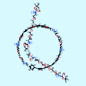 CC(C)(C)OC(=O)NCCOCCOc1cc2c(OCCOCCNC(=O)OC(C)(C)C)cc1C#Cc1ccc(cc1)CNCCOCCOCCNCc1ccc(cc1)C#Cc1cc(OCCOCCNC(=O)OC(C)(C)C)c(cc1OCCOCCNC(=O)OC(C)(C)C)C#Cc1ccc(cc1)CNCCOCCOCCNCc1ccc(cc1)C#C2